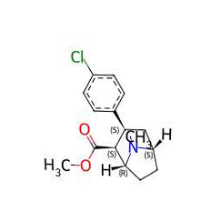 COC(=O)[C@H]1[C@@H](c2ccc(Cl)cc2)C[C@@H]2CC[C@H]1N2C